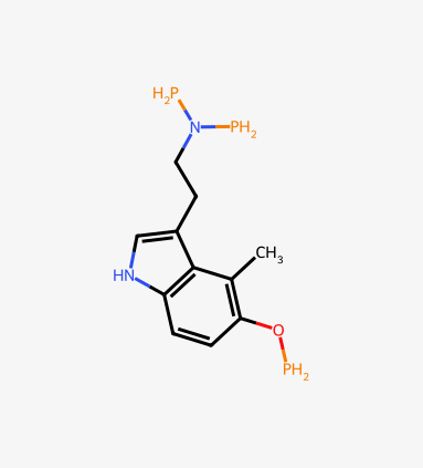 Cc1c(OP)ccc2[nH]cc(CCN(P)P)c12